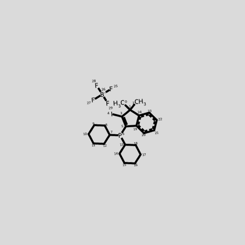 CC1(C)C(I)=C(P(C2CCCCC2)C2CCCCC2)c2ccccc21.F[B-](F)(F)F